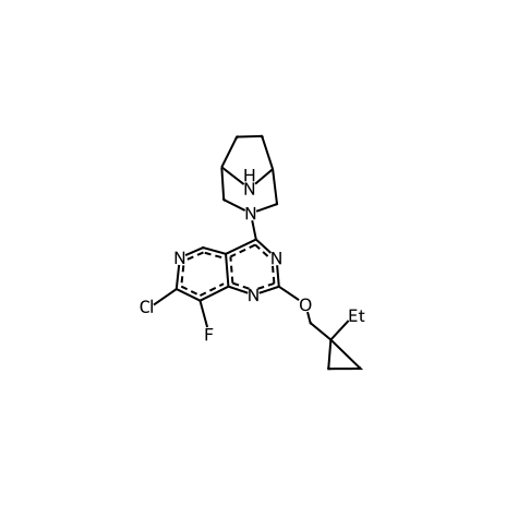 CCC1(COc2nc(N3CC4CCC(C3)N4)c3cnc(Cl)c(F)c3n2)CC1